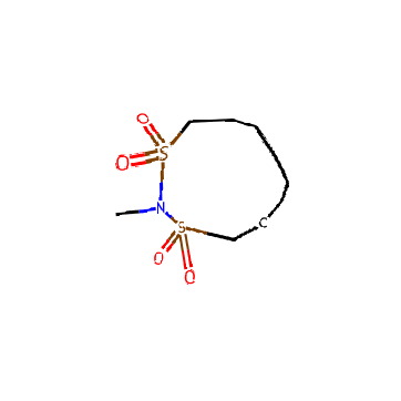 CN1S(=O)(=O)CCCCCCS1(=O)=O